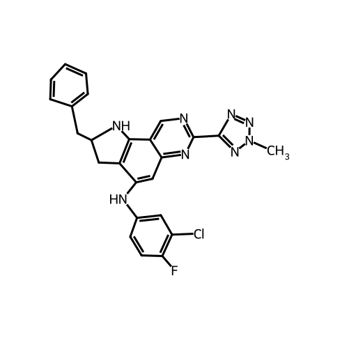 Cn1nnc(-c2ncc3c4c(c(Nc5ccc(F)c(Cl)c5)cc3n2)CC(Cc2ccccc2)N4)n1